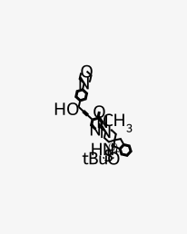 Cn1c(N2CCC3(CC2)Cc2ccccc2[C@H]3N[S+]([O-])C(C)(C)C)ncc(C#CC(O)c2ccc(N3CCOCC3)cc2)c1=O